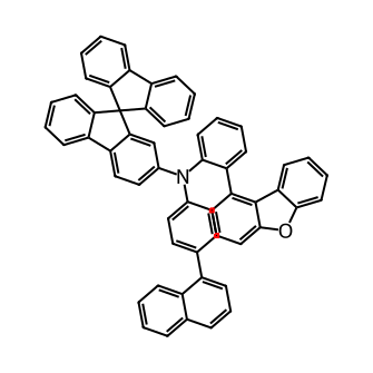 c1ccc(N(c2ccc(-c3cccc4ccccc34)cc2)c2ccc3c(c2)C2(c4ccccc4-c4ccccc42)c2ccccc2-3)c(-c2cccc3oc4ccccc4c23)c1